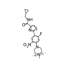 C[C@@H]1CN(c2cc(F)c(-c3nc(C(=O)NCC4CC4)cs3)cc2[N+](=O)[O-])C[C@H](C)N1C